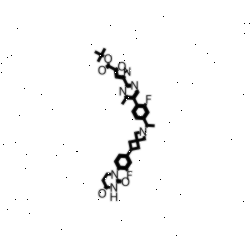 Cc1nc(-c2cc(C(=O)OC(C)(C)C)on2)ncc1-c1ccc(C(C)N2CC3(CC(c4ccc(N5CCC(=O)NC5=O)c(F)c4)C3)C2)cc1F